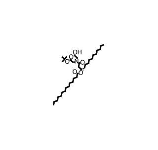 CCCCCCCCCCCCCC(=O)O[C@H](CCCCCCCCCCC)CC(=O)N(CCO)CC(=O)OC(C)(C)C